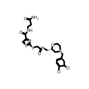 NC(=O)CCNC(=O)c1csc(SCC(=O)NC[C@H]2CN(CC3=CC=C(Cl)C(Cl)C3)CCO2)n1